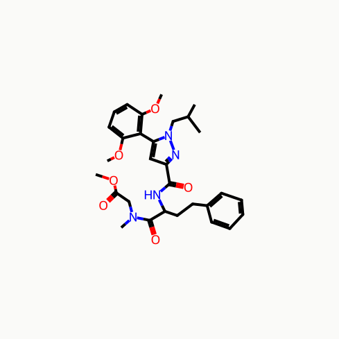 COC(=O)CN(C)C(=O)C(CCc1ccccc1)NC(=O)c1cc(-c2c(OC)cccc2OC)n(CC(C)C)n1